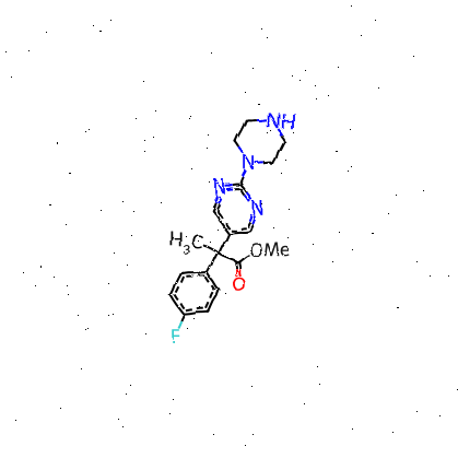 COC(=O)C(C)(c1ccc(F)cc1)c1cnc(N2CCNCC2)nc1